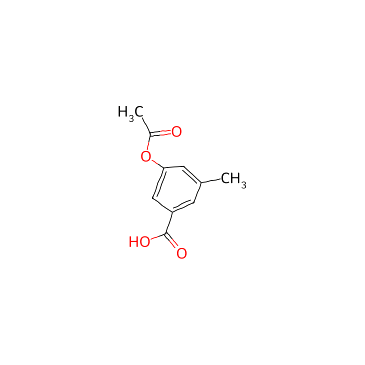 CC(=O)Oc1cc(C)cc(C(=O)O)c1